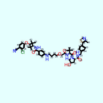 Cc1ncsc1-c1ccc(CNC(=O)[C@@H]2C[C@@H](O)CN2C(=O)[C@@H](NC(=O)COCCCCNc2ccc(C(=O)N[C@H]3C(C)(C)[C@H](Oc4ccc(C#N)c(Cl)c4)C3(C)C)cc2)C(C)(C)C)cc1